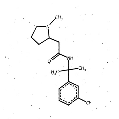 CN1CCCC1CC(=O)NC(C)(C)c1cccc(Cl)c1